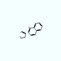 C1=COCC1.Oc1cccc2ccccc12